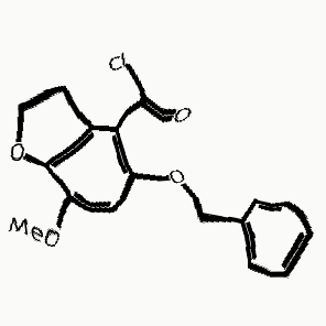 COc1cc(OCc2ccccc2)c(C(=O)Cl)c2c1OCC2